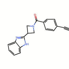 C#Cc1ccc(C(=O)N2CC(c3nc4ccccc4[nH]3)C2)cc1